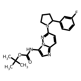 CC(C)(C)OC(=O)Nc1cnc2ccc(N3CCCC3c3cccc(F)c3)nn12